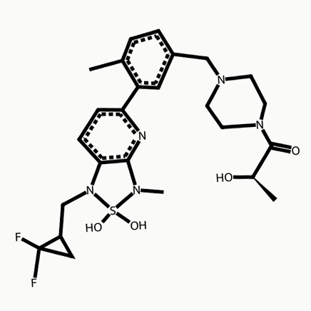 Cc1ccc(CN2CCN(C(=O)[C@@H](C)O)CC2)cc1-c1ccc2c(n1)N(C)S(O)(O)N2CC1CC1(F)F